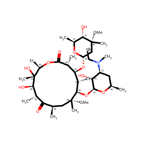 CC[C@H]1OC(=O)[C@H](C)[C@@H](O[C@H]2C[C@@](C)(OC)[C@@H](O)[C@H](C)O2)[C@H](C)[C@@H](O[C@@H]2O[C@H](C)C[C@H](N(C)CC(C)(C)C)[C@H]2O)[C@](C)(OC)C[C@@H](C)C(=O)[C@H](C)[C@@H](O)[C@]1(C)O